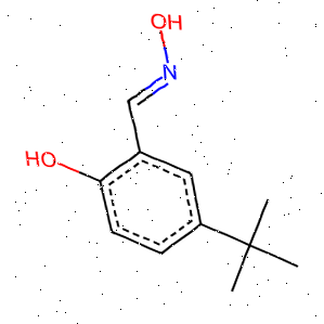 CC(C)(C)c1ccc(O)c(C=NO)c1